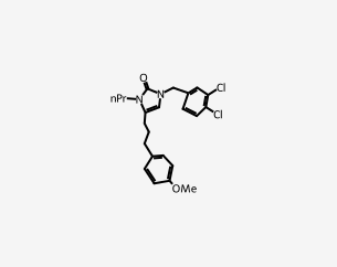 CCCn1c(CCCc2ccc(OC)cc2)cn(Cc2ccc(Cl)c(Cl)c2)c1=O